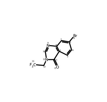 O=c1c2ccc(Br)cc2ncn1CC(F)(F)F